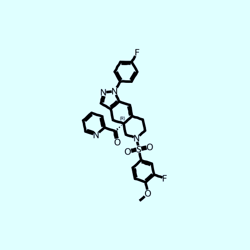 COc1ccc(S(=O)(=O)N2CCC3=Cc4c(cnn4-c4ccc(F)cc4)C[C@]3(C(=O)c3ccccn3)C2)cc1F